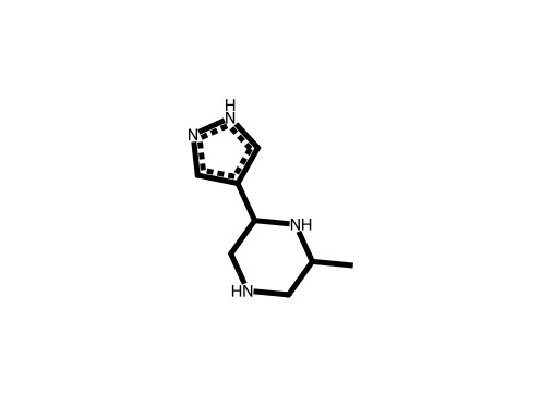 CC1CNCC(c2cn[nH]c2)N1